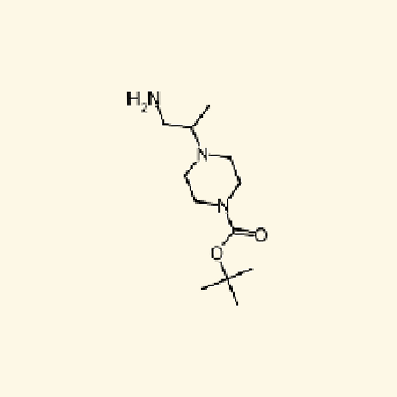 CC(CN)N1CCN(C(=O)OC(C)(C)C)CC1